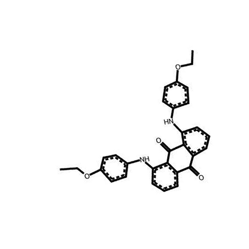 CCOc1ccc(Nc2cccc3c2C(=O)c2c(Nc4ccc(OCC)cc4)cccc2C3=O)cc1